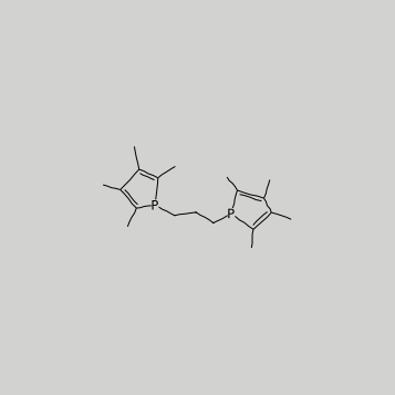 Cc1c(C)c(C)p(CCCp2c(C)c(C)c(C)c2C)c1C